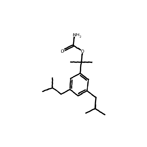 CC(C)Cc1cc(CC(C)C)cc(C(C)(C)OC(N)=O)c1